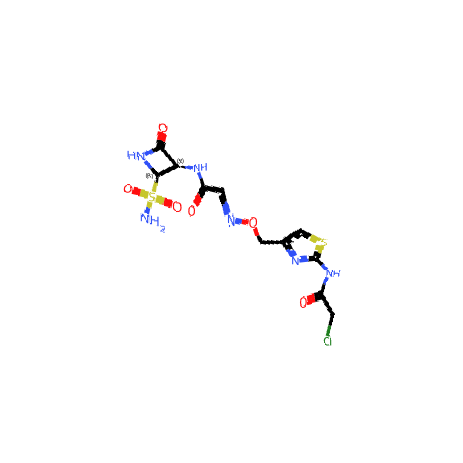 NS(=O)(=O)[C@H]1NC(=O)[C@H]1NC(=O)C=NOCc1csc(NC(=O)CCl)n1